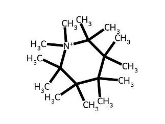 CC1(C)C(C)(C)C(C)(C)[N+](C)(C)C(C)(C)C1(C)C